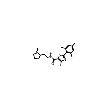 Cc1cc(C)c(-c2nc(C)c(C(=O)NCCC3CCCN3C)s2)c(C)c1